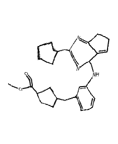 COC(=O)C1CCC(c2cccc(NC3N=C(C4CCCC4)N=C4CCC=C43)c2)C1